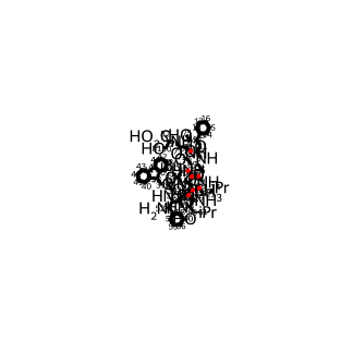 CC[C@H](C)[C@H](NC(=O)[C@@H](CCNC(=O)OCc1ccccc1)NC(=O)[C@H](CC(C)C)NC(=O)C(NC(=O)[C@@H](NC(=O)OCC1c2ccccc2-c2ccccc21)[C@H](N)c1ccccc1)[C@H](O)C(C)C)C(=O)N[C@H](C(=O)NCC(=O)N[C@@H](CO)C(=O)N[C@@H](CO)C(=O)O)[C@H](C)O